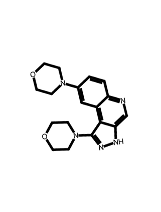 c1cc2ncc3[nH]nc(N4CCOCC4)c3c2cc1N1CCOCC1